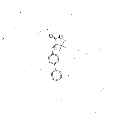 CC1(C)COC(=O)/C1=C/c1ccc(-c2ccccc2)cc1